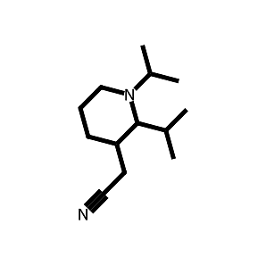 CC(C)C1C(CC#N)CCCN1C(C)C